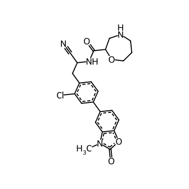 Cn1c(=O)oc2ccc(-c3ccc(CC(C#N)NC(=O)C4CNCCCO4)c(Cl)c3)cc21